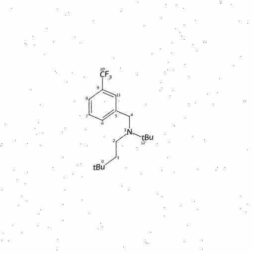 CC(C)(C)CCN(Cc1cccc(C(F)(F)F)c1)C(C)(C)C